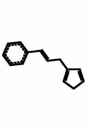 C1=CC(CC=Cc2ccccc2)=CC1